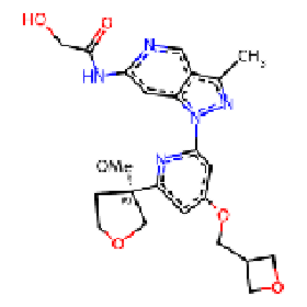 CO[C@@]1(c2cc(OCC3COC3)cc(-n3nc(C)c4cnc(NC(=O)CO)cc43)n2)CCOC1